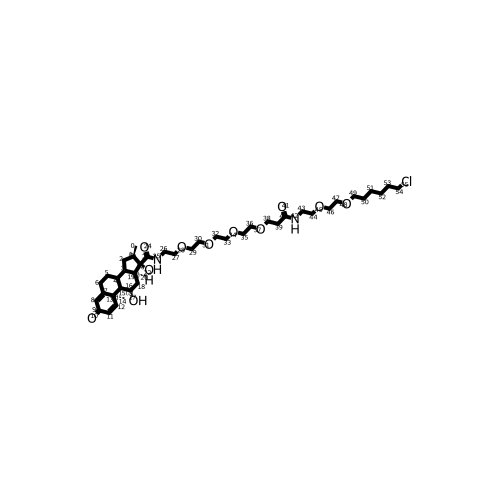 C[C@@H]1CC2C3CCC4=CC(=O)C=C[C@]4(C)C3[C@@H](O)C[C@]2(C)[C@@]1(O)C(=O)NCCOCCOCCOCCOCCC(=O)NCCOCCOCCCCCCCl